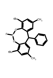 Cc1cc2c(c(C(C)(C)C)c1)OP(F)Oc1c(cc(C)cc1C(C)(C)C)C2c1ccccc1